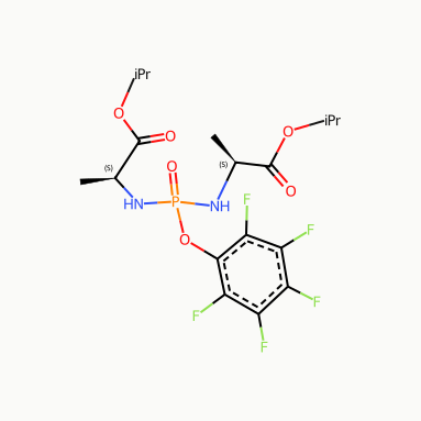 CC(C)OC(=O)[C@H](C)NP(=O)(N[C@@H](C)C(=O)OC(C)C)Oc1c(F)c(F)c(F)c(F)c1F